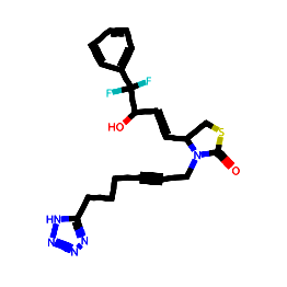 O=C1SCC(C=CC(O)C(F)(F)c2ccccc2)N1CC#CCCCc1nnn[nH]1